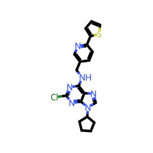 Clc1nc(NCc2ccc(-c3cccs3)nc2)c2ncn(C3CCCC3)c2n1